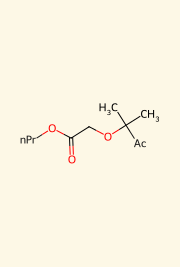 CCCOC(=O)COC(C)(C)C(C)=O